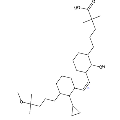 COC(C)(C)CCCC1CCCC(/C=C\C2CCCC(CCCC(C)(C)C(=O)O)C2O)C1C1CC1